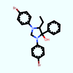 CCC1N(c2ccc(Br)cc2)CN(c2ccc(Br)cc2)C1(O)c1ccccc1